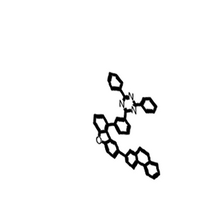 c1ccc(-c2nc(-c3ccccc3)nc(-c3cccc(-c4cccc5oc6ccc(-c7ccc8c(ccc9ccccc98)c7)cc6c45)c3)n2)cc1